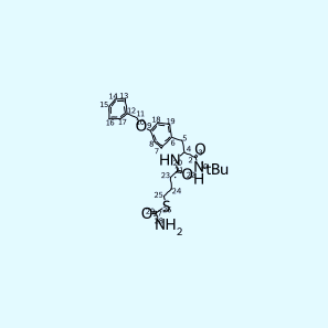 CC(C)(C)NC(=O)C(Cc1ccc(OCc2ccccc2)cc1)NC(=O)[CH]CCSC(N)=O